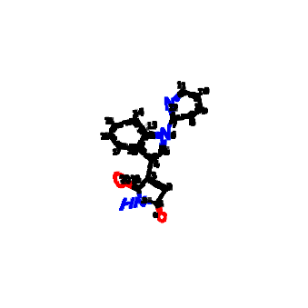 O=C1C=C(c2cn(-c3ccccn3)c3ccccc23)C(=O)N1